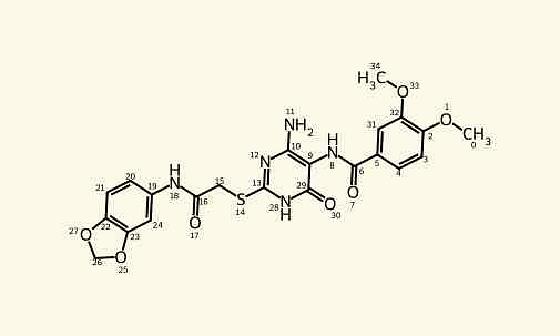 COc1ccc(C(=O)Nc2c(N)nc(SCC(=O)Nc3ccc4c(c3)OCO4)[nH]c2=O)cc1OC